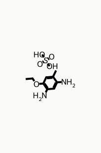 CCOc1cc(C)c(N)cc1N.O=S(=O)(O)O